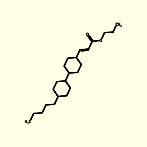 CCCCCC1CCC(C2CCC(/C=C/C(=O)OCCC)CC2)CC1